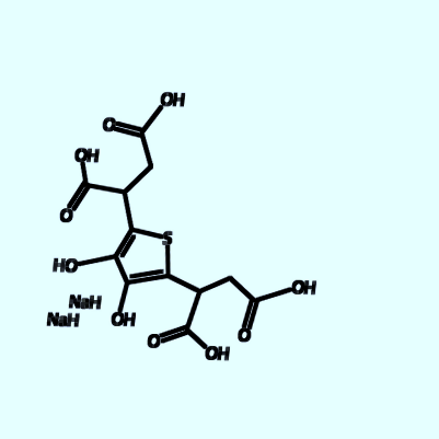 O=C(O)CC(C(=O)O)c1sc(C(CC(=O)O)C(=O)O)c(O)c1O.[NaH].[NaH]